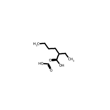 CCCCC(CC)C(=O)O.O=CO